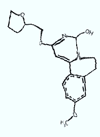 COc1ccc2c(c1)CCN1C2=CC(OCC2CCCO2)=NC1O